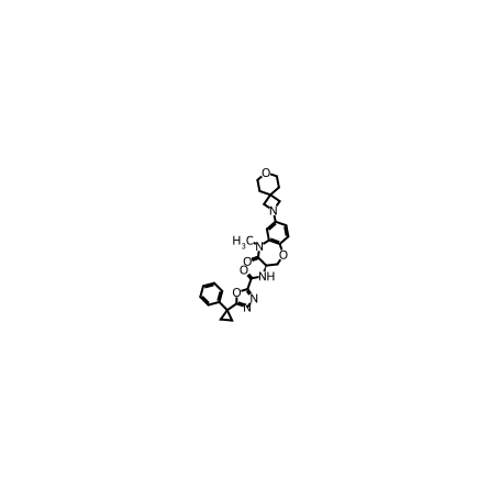 CN1C(=O)[C@H](NC(=O)c2nnc(C3(c4ccccc4)CC3)o2)COc2ccc(N3CC4(CCOCC4)C3)cc21